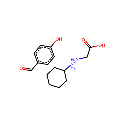 NC1CCCCC1.NCC(=O)O.O=Cc1ccc(O)cc1